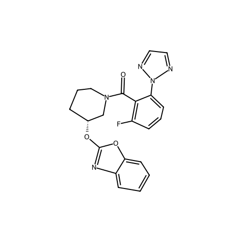 O=C(c1c(F)cccc1-n1nccn1)N1CCC[C@@H](Oc2nc3ccccc3o2)C1